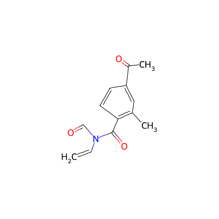 C=CN(C=O)C(=O)c1ccc(C(C)=O)cc1C